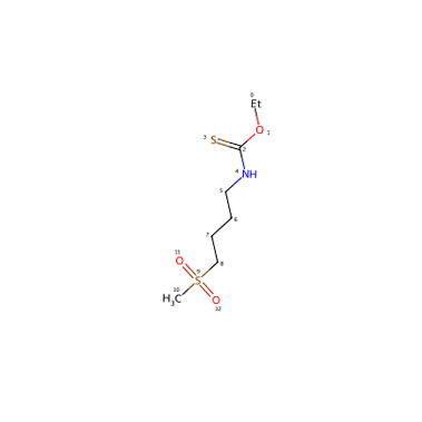 CCOC(=S)NCCCCS(C)(=O)=O